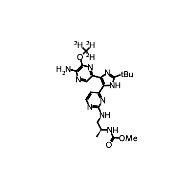 [2H]C([2H])([2H])Oc1nc(-c2nc(C(C)(C)C)[nH]c2-c2ccnc(NC[C@H](C)NC(=O)OC)n2)cnc1N